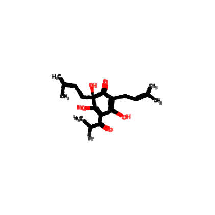 CC(C)=CCC1=C(O)C(C(=O)C(C)C(C)C)=C(O)[C@](O)(CC=C(C)C)C1=O